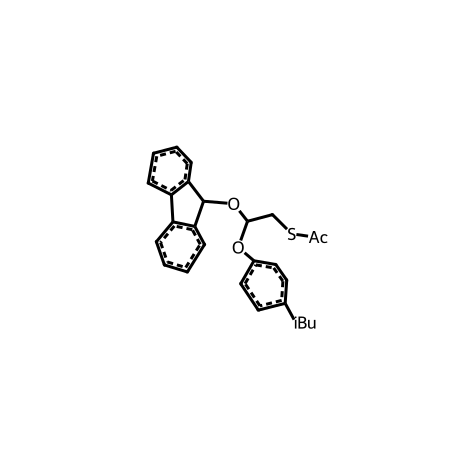 CCC(C)c1ccc(OC(CSC(C)=O)OC2c3ccccc3-c3ccccc32)cc1